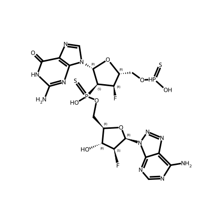 Nc1nc2c(ncn2[C@@H]2O[C@H](CO[PH](O)=S)[C@@H](F)[C@H]2P(O)(=S)OC[C@H]2O[C@@H](n3nnc4c(N)ncnc43)[C@@H](F)[C@@H]2O)c(=O)[nH]1